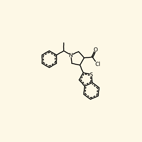 CC(c1ccccc1)N1CC(C(=O)Cl)C(c2cc3ccccc3s2)C1